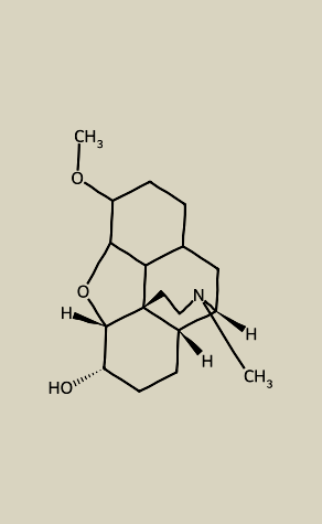 COC1CCC2C[C@@H]3[C@@H]4CC[C@H](O)[C@@H]5OC1C2[C@]45CCN3C